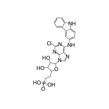 O=P(O)(O)CCC1OC(n2cnc3c(Nc4ccc5[nH]c6ccccc6c5c4)nc(Cl)nc32)C(O)C1O